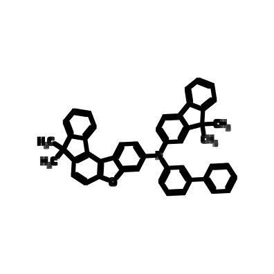 CC1(C)c2ccccc2-c2ccc(N(c3cccc(-c4ccccc4)c3)c3ccc4c(c3)oc3ccc5c(c34)-c3ccccc3C5(C)C)cc21